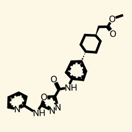 COC(=O)C[C@H]1CC[C@H](c2ccc(NC(=O)c3nnc(Nc4ccccn4)o3)cc2)CC1